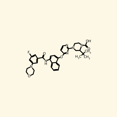 CC(C)(C)C1CN(c2nccc(Oc3ccc(NC(=O)c4cc(F)cc(N5CCOCC5)c4)c4ccccc34)n2)CCN1C(=O)O